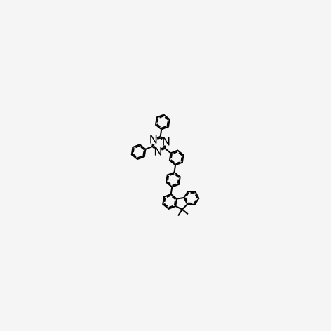 CC1(C)c2ccccc2-c2c(-c3ccc(-c4cccc(-c5nc(-c6ccccc6)nc(-c6ccccc6)n5)c4)cc3)cccc21